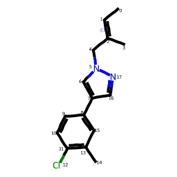 C/C=C(\C)Cn1cc(-c2ccc(Cl)c(C)c2)cn1